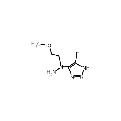 COCCN(N)c1nn[nH]c1F